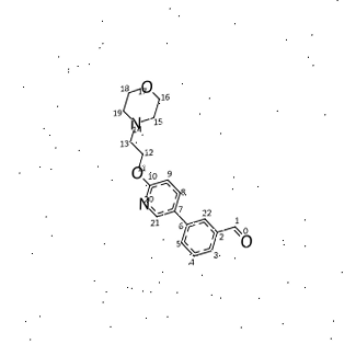 O=Cc1cccc(-c2ccc(OCCN3CCOCC3)nc2)c1